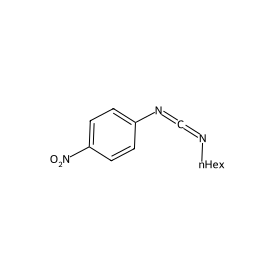 CCCCCCN=C=Nc1ccc([N+](=O)[O-])cc1